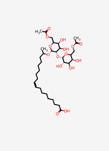 CC(=O)OCC1O[C@@H](O[C@H]2C(O)[C@H](O)C(COC(C)=O)O[C@H]2OC(C)CCCCCC/C=C\CCCCCCCC(=O)O)[C@@H](O)C(O)[C@@H]1O